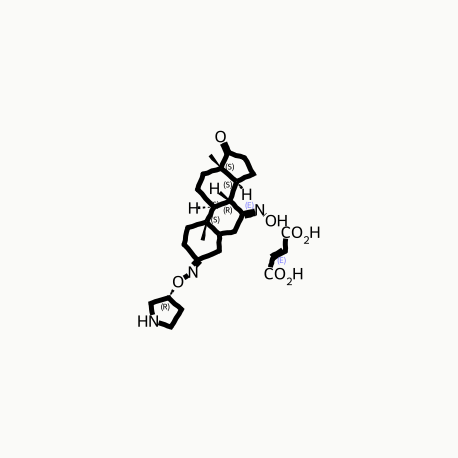 C[C@]12CCC(=NO[C@@H]3CCNC3)CC1C/C(=N\O)[C@@H]1[C@@H]2CC[C@]2(C)C(=O)CC[C@@H]12.O=C(O)/C=C/C(=O)O